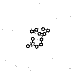 c1ccc(-c2nc(-c3ccccc3)nc(-c3cccc(-c4cccc(-c5ccc(-n6c7ccc(-c8ccccc8-c8ccccc8)cc7c7cc(-c8cccc9c8sc8ccccc89)ccc76)cc5)c4)c3)n2)cc1